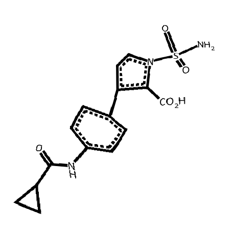 NS(=O)(=O)n1ccc(-c2ccc(NC(=O)C3CC3)cc2)c1C(=O)O